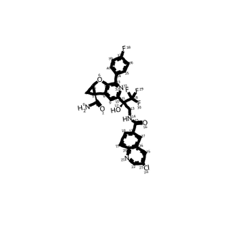 NC(=O)[C@@]12CC1Oc1c2cc([C@@](O)(CNC(=O)c2ccc3ncc(Cl)cc3c2)C(F)(F)F)nc1-c1ccc(F)cc1